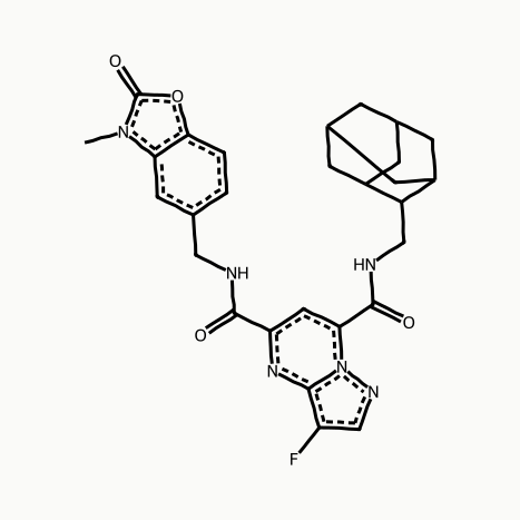 Cn1c(=O)oc2ccc(CNC(=O)c3cc(C(=O)NCC4C5CC6CC(C5)CC4C6)n4ncc(F)c4n3)cc21